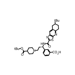 CC(C)(C)OC(=O)C1CCN(CC[C@@H](NC(=O)c2nc3cc4c(nc3s2)CCC(C(C)(C)C)C4)c2cccc(C(=O)O)c2)CC1